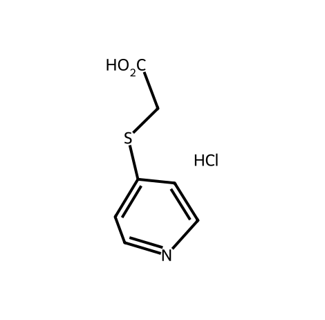 Cl.O=C(O)CSc1ccncc1